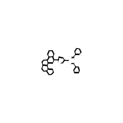 c1ccc(-c2nc(-c3ccccc3)nc(-c3ccc(-c4cc5c(ccc6ccc7ccccc7c65)c5ccccc45)nc3)n2)cc1